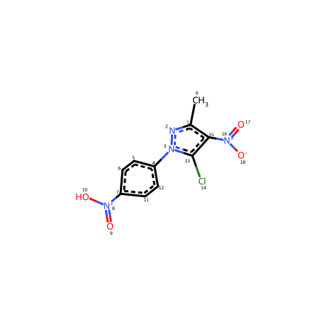 Cc1nn(-c2ccc([N+](=O)O)cc2)c(Cl)c1[N+](=O)[O-]